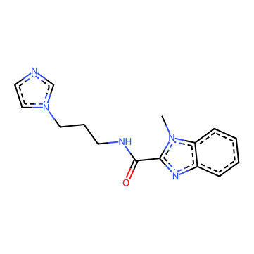 Cn1c(C(=O)NCCCn2ccnc2)nc2ccccc21